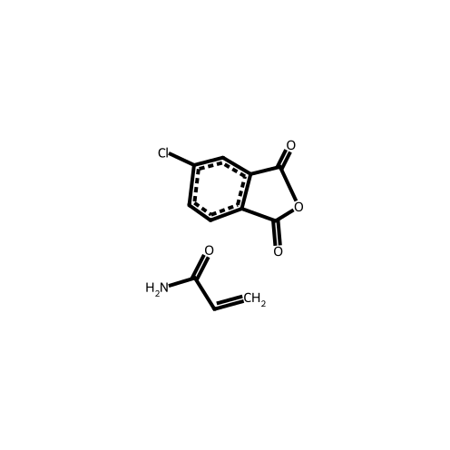 C=CC(N)=O.O=C1OC(=O)c2cc(Cl)ccc21